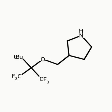 CC(C)(C)C(OCC1CCNC1)(C(F)(F)F)C(F)(F)F